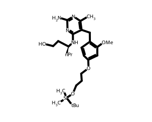 CCC[C@@H](CCO)Nc1nc(N)nc(C)c1Cc1ccc(OCCCO[Si](C)(C)C(C)(C)C)cc1OC